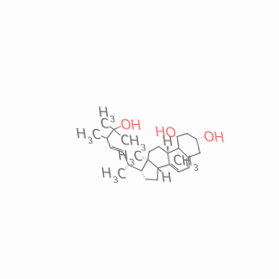 CC(/C=C/[C@@H](C)[C@H]1CC[C@H]2C3=CC=C4C[C@@H](O)CC(O)[C@]4(C)[C@H]3CC[C@]12C)C(C)(C)O